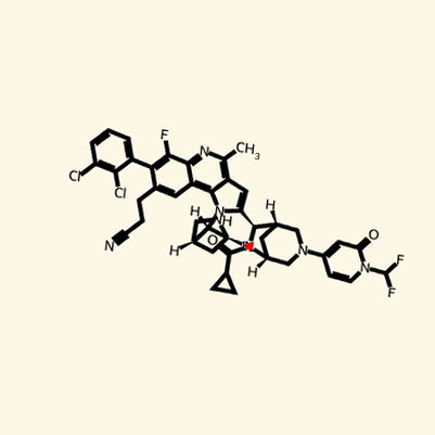 Cc1nc2c(F)c(-c3cccc(Cl)c3Cl)c(CCC#N)cc2c2c1cc([C@H]1[C@H]3C[C@H](CN(c4ccn(C(F)F)c(=O)c4)C3)N1C(=O)C1CC1)n2[C@H]1[C@H]2CN[C@@H]1C2